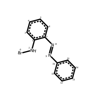 BrNc1ccccc1N=Nc1ccccc1